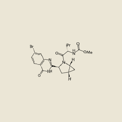 COC(=O)N[C@H](C(=O)N1[C@@H]2C[C@@H]2C[C@H]1c1nc2cc(Br)ccc2c(=O)[nH]1)C(C)C